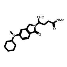 CNC(=O)CCC(C=O)N1Cc2cc(N(C)C3CCCCC3)ccc2C1=O